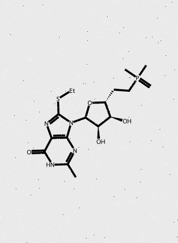 C=P(C)(C)CC[C@H]1OC(n2c(SCC)nc3c(=O)[nH]c(C)nc32)[C@H](O)[C@@H]1O